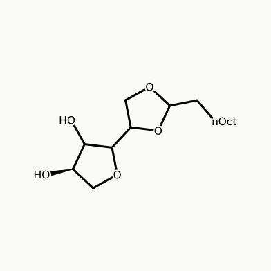 CCCCCCCCCC1OCC(C2OC[C@@H](O)C2O)O1